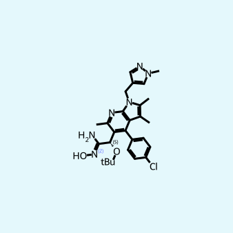 Cc1nc2c(c(C)c(C)n2Cc2cnn(C)c2)c(-c2ccc(Cl)cc2)c1[C@H](OC(C)(C)C)/C(N)=N/O